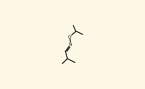 CC(C)/[C]=N/OC(C)C